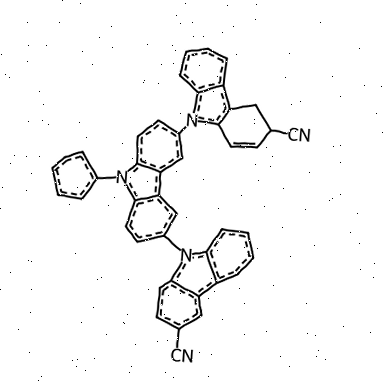 N#Cc1ccc2c(c1)c1ccccc1n2-c1ccc2c(c1)c1cc(-n3c4c(c5ccccc53)CC(C#N)C=C4)ccc1n2-c1ccccc1